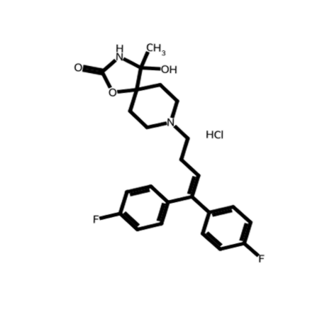 CC1(O)NC(=O)OC12CCN(CCC=C(c1ccc(F)cc1)c1ccc(F)cc1)CC2.Cl